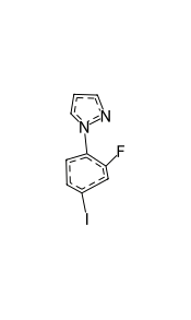 Fc1cc(I)ccc1-n1cccn1